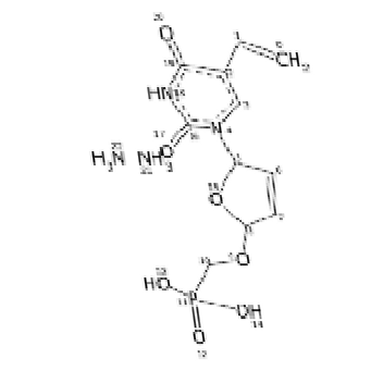 C=Cc1cn(C2C=CC(OCP(=O)(O)O)O2)c(=O)[nH]c1=O.N.N